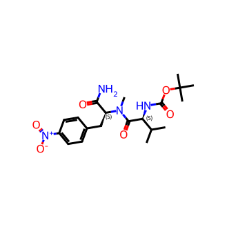 CC(C)[C@H](NC(=O)OC(C)(C)C)C(=O)N(C)[C@@H](Cc1ccc([N+](=O)[O-])cc1)C(N)=O